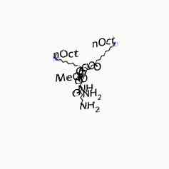 CCCCCCCC/C=C\CCCCCCCC(=O)OCC(COP(=O)(OC)OCCNC(=O)C(N)CCCN)OC(=O)CCCCCCC/C=C\CCCCCCCC